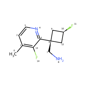 Cc1ccnc([C@]2(CN)C[C@@H](F)C2)c1F